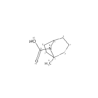 CC12CCCC(CC1)N2C(=O)O